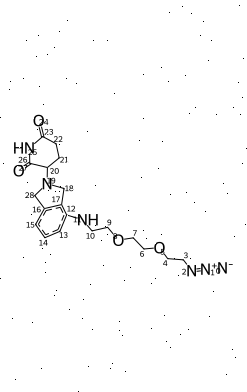 [N-]=[N+]=NCCOCCOCCNc1cccc2c1CN(C1CCC(=O)NC1=O)C2